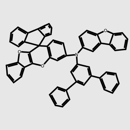 c1ccc(-c2cc(-c3ccccc3)cc(N(c3ccc4c(c3)Oc3c(oc5ccccc35)C43c4ccccc4-c4ccccc43)c3ccc4oc5ccccc5c4c3)c2)cc1